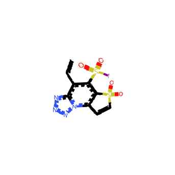 C=Cc1c(S(=O)(=O)I)c2c(n3nnnc13)C=CS2(=O)=O